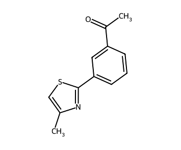 CC(=O)c1cccc(-c2nc(C)cs2)c1